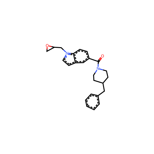 O=C(c1ccc2c(ccn2CC2CO2)c1)N1CCC(Cc2ccccc2)CC1